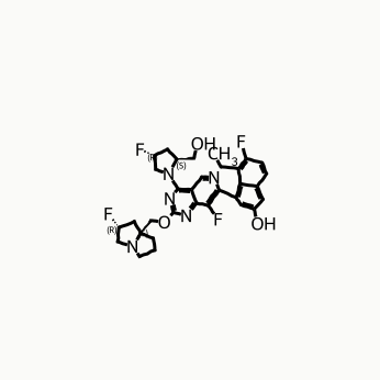 CCc1c(F)ccc2cc(O)cc(-c3ncc4c(N5C[C@H](F)C[C@H]5CO)nc(OC[C@@]56CCCN5C[C@H](F)C6)nc4c3F)c12